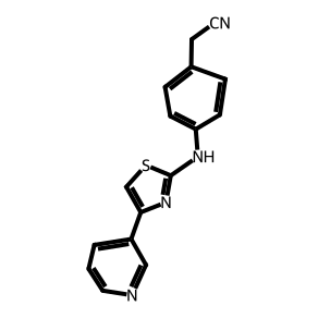 N#CCc1ccc(Nc2nc(-c3cccnc3)cs2)cc1